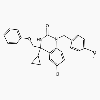 COc1ccc(CN2C(=O)NC(COc3ccccc3)(C3CC3)c3cc(Cl)ccc32)cc1